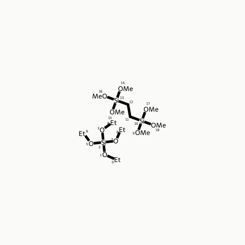 CCO[Si](OCC)(OCC)OCC.CO[Si](CC[Si](OC)(OC)OC)(OC)OC